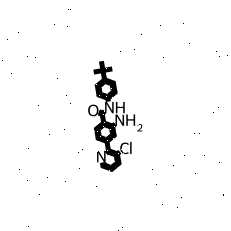 CC(C)(C)c1ccc(NC(=O)c2ccc(-c3ncccc3Cl)cc2N)cc1